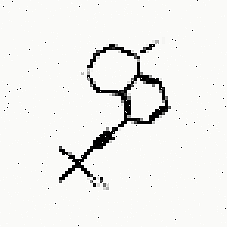 CCN1CCOCc2c(C#CC(C)(C)C(F)(F)F)cccc21